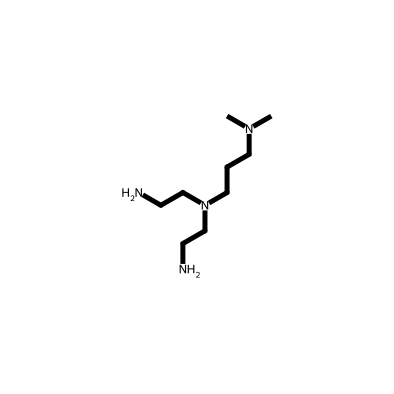 CN(C)CCCN(CCN)CCN